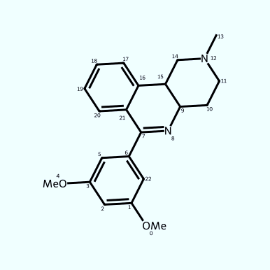 COc1cc(OC)cc(C2=NC3CCN(C)CC3c3ccccc32)c1